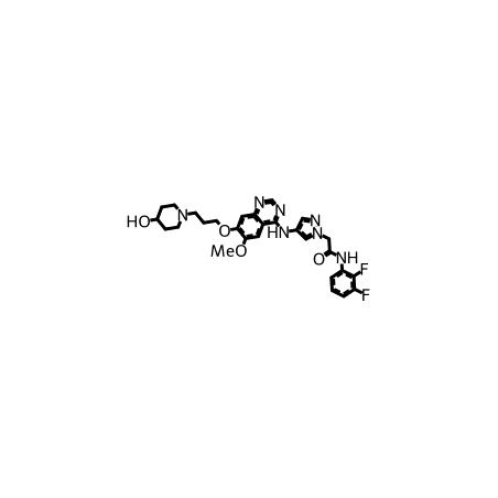 COc1cc2c(Nc3cnn(CC(=O)Nc4cccc(F)c4F)c3)ncnc2cc1OCCCN1CCC(O)CC1